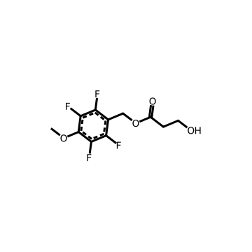 COc1c(F)c(F)c(COC(=O)CCO)c(F)c1F